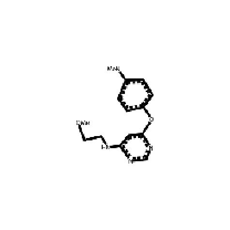 CNc1ccc(Oc2cc(NCCOC)ncn2)cc1